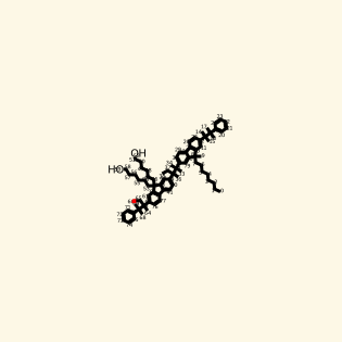 CCCCCCCCC1(C)c2cc(C(C)(C)C(C)(C)c3ccccc3)ccc2-c2ccc(C(C)(C)C(C)(CC)c3ccc4c(c3)C(CCCCCCO)(CCCCCCO)c3cc(C(C)(CC)C(C)(C)c5ccccc5)ccc3-4)cc21